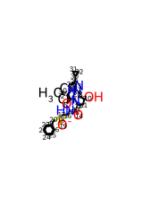 CC(C)(C)[C@@H](C(=O)N1C[C@H](O)C[C@H]1C(=O)NCC[S+]([O-])Cc1ccccc1)n1cc(C2CC2)nn1